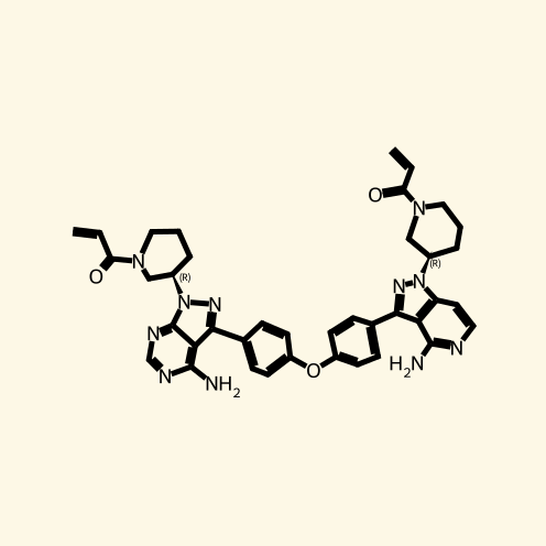 C=CC(=O)N1CCC[C@@H](n2nc(-c3ccc(Oc4ccc(-c5nn([C@@H]6CCCN(C(=O)C=C)C6)c6ncnc(N)c56)cc4)cc3)c3c(N)nccc32)C1